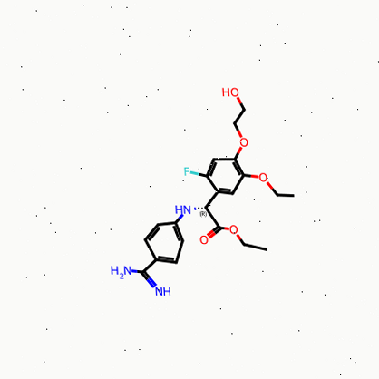 CCOC(=O)[C@H](Nc1ccc(C(=N)N)cc1)c1cc(OCC)c(OCCO)cc1F